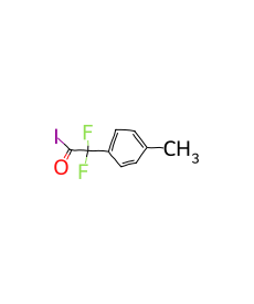 Cc1ccc(C(F)(F)C(=O)I)cc1